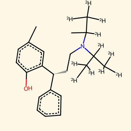 [2H]C([2H])([2H])C([2H])(C)N(CC[C@H](c1ccccc1)c1cc(C)ccc1O)C([2H])(C([2H])([2H])[2H])C([2H])([2H])[2H]